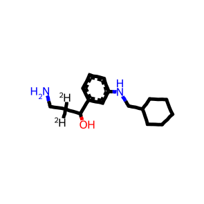 [2H]C([2H])(CN)C(O)c1cccc(NCC2CCCCC2)c1